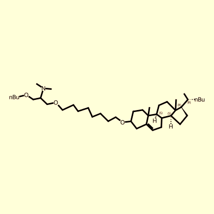 CCCCOCC(COCCCCCCCCOC1CCC2(C)C(=CCC3[C@@H]2CCC2(C)[C@@H]([C@H](C)CCCC)CC[C@@H]32)C1)N(C)C